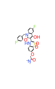 CN(C)C(=O)COc1ccc2c(c1)S(=O)(=O)C=C(c1c(O)c3cc(F)ccc3n(Cc3ccc(F)cc3)c1=O)N2